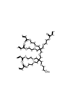 C=CC(=O)OCCOCC(COCCOC(C)=O)(COCCOC(=O)C=C)COCC(COCCOC(=O)C=C)(COCCOC(=O)C=C)COCCOC(=O)C=C